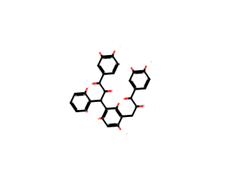 Oc1ccc(C2Oc3c(c(O)cc(O)c3C3c4c(O)cccc4OC(c4ccc(O)c(O)c4)C3O)CC2O)cc1O